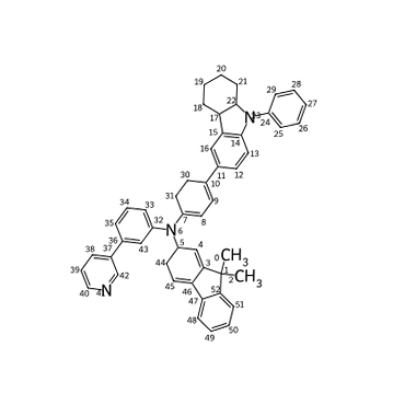 CC1(C)C2=CC(N(C3=CC=C(c4ccc5c(c4)C4CCCCC4N5c4ccccc4)CC3)c3cccc(-c4cccnc4)c3)CC=C2c2ccccc21